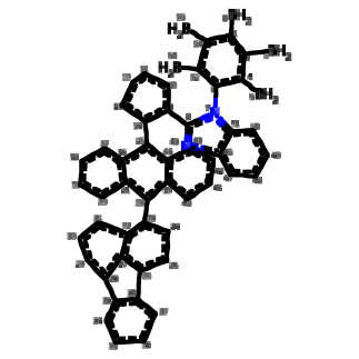 Bc1c(B)c(B)c(-n2c(-c3ccccc3-c3c4ccccc4c(-c4ccc5c6c(cccc46)-c4ccccc4-5)c4ccccc34)nc3ccccc32)c(B)c1B